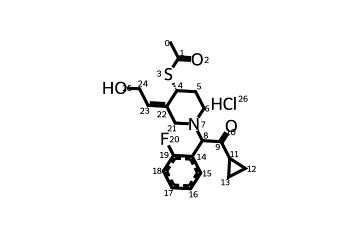 CC(=O)S[C@@H]1CCN(C(C(=O)C2CC2)c2ccccc2F)C/C1=C/CO.Cl